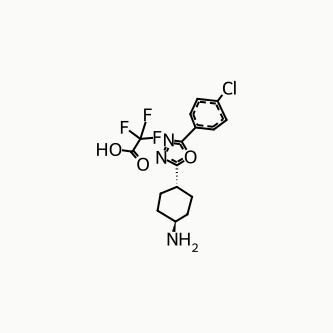 N[C@H]1CC[C@H](c2nnc(-c3ccc(Cl)cc3)o2)CC1.O=C(O)C(F)(F)F